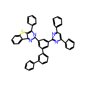 c1ccc(-c2cccc(-c3cc(-c4nc(-c5ccccc5)cc(-c5ccccc5)n4)cc(-c4nc(-c5ccccc5)c5sc6ccccc6c5n4)c3)c2)cc1